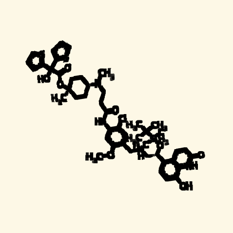 COc1cc(NC(=O)CCN(C)[C@H]2CC[C@](C)(OC(=O)C(O)(c3cccs3)c3cccs3)CC2)c(Cl)cc1CNC[C@H](O[Si](C)(C)C(C)(C)C)c1ccc(O)c2[nH]c(=O)ccc12